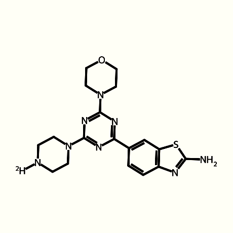 [2H]N1CCN(c2nc(-c3ccc4nc(N)sc4c3)nc(N3CCOCC3)n2)CC1